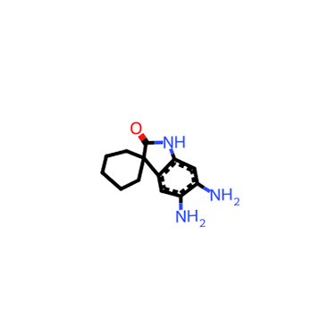 Nc1cc2c(cc1N)C1(CCCCC1)C(=O)N2